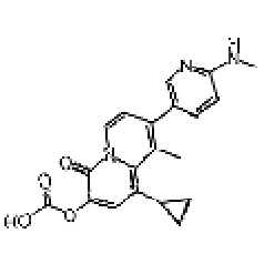 CNc1ccc(-c2ccn3c(=O)c(OC(=O)O)cc(C4CC4)c3c2C)cn1